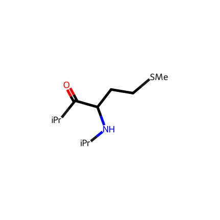 CSCCC(NC(C)C)C(=O)C(C)C